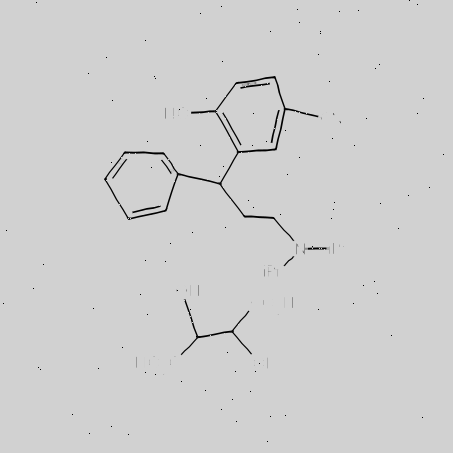 CC(C)N(CCC(c1ccccc1)c1cc(C#N)ccc1O)C(C)C.O=C(O)C(O)C(O)C(=O)O